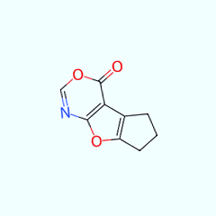 O=c1ocnc2oc3c(c12)CCC3